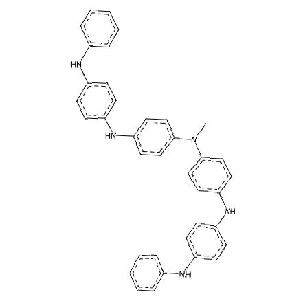 CN(c1ccc(Nc2ccc(Nc3ccccc3)cc2)cc1)c1ccc(Nc2ccc(Nc3ccccc3)cc2)cc1